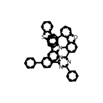 c1ccc(-c2ccc(-c3nc(-c4ccccc4)nc(-c4ccc5oc6cccc(-c7cccc8sc9ccccc9c78)c6c5c4-n4c5ccccc5c5ccccc54)n3)cc2)cc1